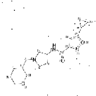 O=C(NC1CCN(CC2CCCOC2)C1)c1cc(C2CC2)on1